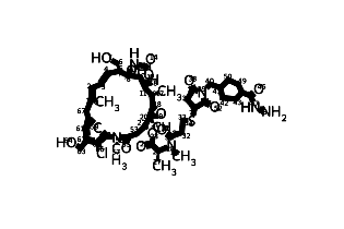 C/C1=C\C=C\[C@@H](CO)[C@@]2(O)C[C@H](OC(=O)N2)[C@@H](C)C2O[C@]2(C)[C@@H](OC(=O)[C@H](C)N(C)C(=O)CCSC2CC(=O)N(CC3CCC(C(=O)NN)CC3)C2=O)CC(=O)N(C)c2cc(cc(CO)c2Cl)C1